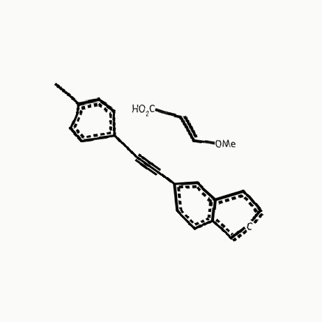 COC=CC(=O)O.Cc1ccc(C#Cc2ccc3ccccc3c2)cc1